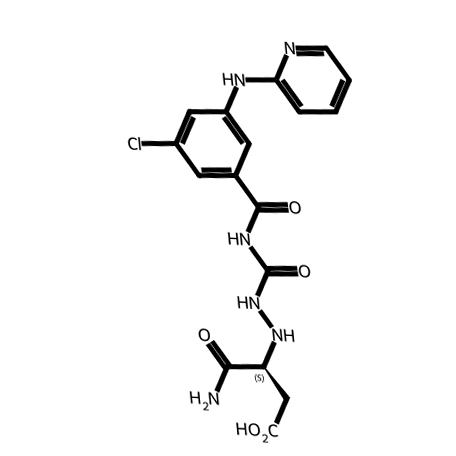 NC(=O)[C@H](CC(=O)O)NNC(=O)NC(=O)c1cc(Cl)cc(Nc2ccccn2)c1